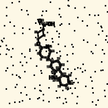 O=C(O)C1CC(Oc2ccc(-c3ccc4c(c3)[nH]c3ccncc34)cn2)C1